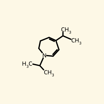 CC(C)C1=CCCN(C(C)C)C=C1